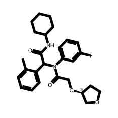 Cc1ccccc1C(C(=O)NC1CCCCC1)N(C(=O)CO[C@H]1CCOC1)c1cccc(F)c1